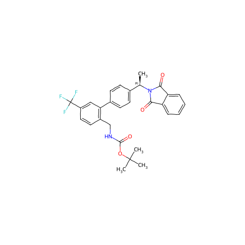 C[C@H](c1ccc(-c2cc(C(F)(F)F)ccc2CNC(=O)OC(C)(C)C)cc1)N1C(=O)c2ccccc2C1=O